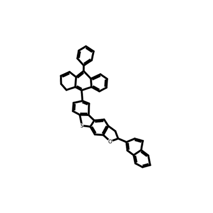 C1=Cc2c(c(-c3ccc4sc5cc6c(cc5c4c3)CC(c3ccc4ccccc4c3)O6)c3ccccc3c2-c2ccccc2)CC1